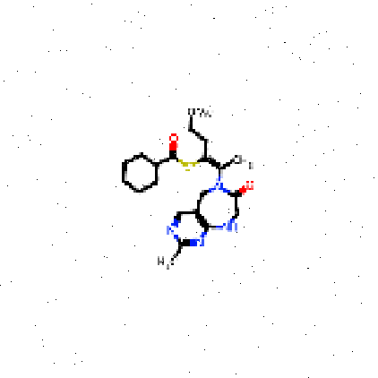 COCC/C(SC(=O)C1CCCCC1)=C(\C)N1Cc2cnc(C)nc2NCC1=O